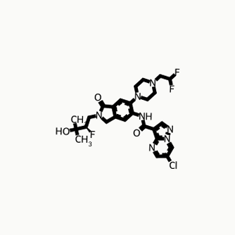 CC(C)(O)[C@H](F)CN1Cc2cc(NC(=O)c3cnn4cc(Cl)cnc34)c(N3CCN(CC(F)F)CC3)cc2C1=O